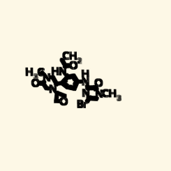 C=CC(=O)Nc1cc(Nc2nc(Br)cn(C)c2=O)ccc1C1CN(C)C(=O)CN1C1COC1